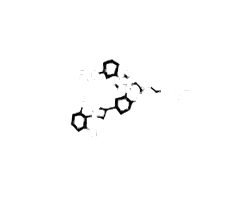 O=C(O)CC[C@H]1CN(S(=O)(=O)c2cccc(C(F)(F)F)c2)c2cc(C3CN(c4c(F)cccc4Cl)C3)ccc2O1